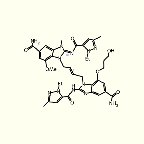 CCn1nc(C)cc1C(=O)/N=c1\n(C)c2cc(C(N)=O)cc(OC)c2n1C/C=C/Cn1c(NC(=O)c2cc(C)nn2CC)nc2cc(C(N)=O)cc(OCCCO)c21